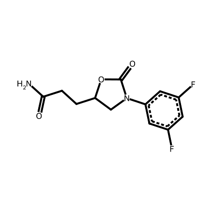 NC(=O)CCC1CN(c2cc(F)cc(F)c2)C(=O)O1